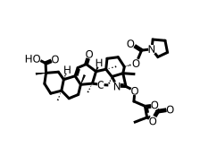 Cc1oc(=O)oc1COC1=N[C@@]23CC[C@]4(C)[C@H](C(=O)C=C5[C@@H]6C[C@@](C)(C(=O)O)CC[C@]6(C)CC[C@]54C)[C@@]2(C)CC[C@H](OC(=O)N2CCCC2)C13C